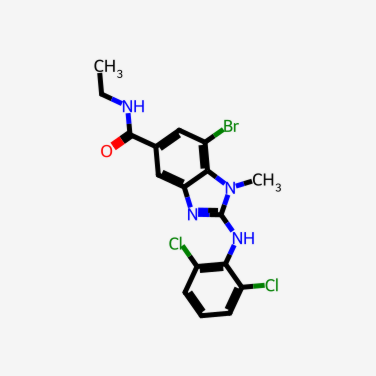 CCNC(=O)c1cc(Br)c2c(c1)nc(Nc1c(Cl)cccc1Cl)n2C